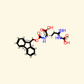 N=C(CC[C@H](NC(=O)OCC1c2ccccc2-c2ccccc21)C(=O)O)NC(=O)O